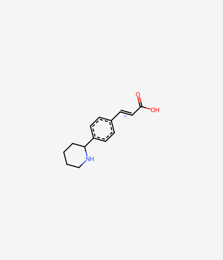 O=C(O)/C=C/c1ccc(C2CCCCN2)cc1